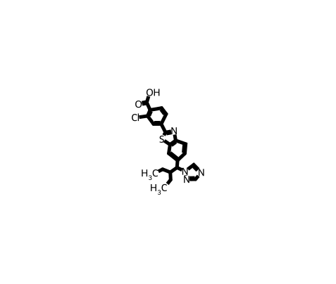 CCC(CC)C(c1ccc2nc(-c3ccc(C(=O)O)c(Cl)c3)sc2c1)n1cncn1